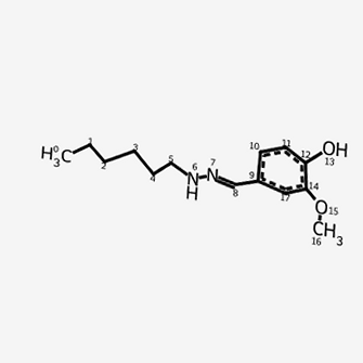 CCCCCCN/N=C/c1ccc(O)c(OC)c1